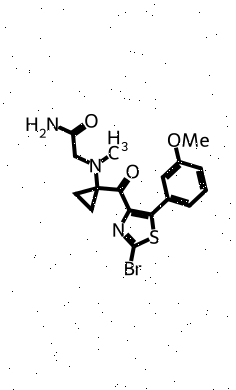 COc1cccc(-c2sc(Br)nc2C(=O)C2(N(C)CC(N)=O)CC2)c1